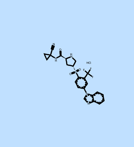 Cl.N#CC1(NC(=O)[C@@H]2C[C@@H](S(=O)(=O)c3ccc(-n4cnc5ccccc54)cc3C(F)(F)F)CN2)CC1